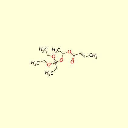 CC=CC(=O)OC(C)O[Si](CC)(OCC)OCC